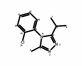 Cc1nnc(C(C)C)n1-c1ccccc1Cl